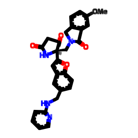 COc1ccc2c(c1)C(=O)N(C[C@@]1(c3cc4cc(CNc5ccccn5)ccc4o3)NC(=O)CC1=O)C2